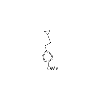 COc1ccc(CCC2CC2)cc1